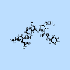 COC1CC(Cc2c[nH]c3ccc(Nc4ccc(C#N)cc4[N+](=O)[O-])cc23)N(C(=O)OCc2ccccc2)C1